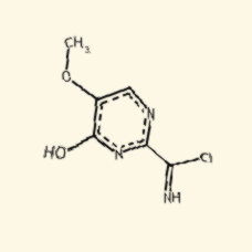 COc1cnc(C(=N)Cl)nc1O